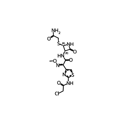 CON=C(C(=O)N[C@@H]1C(=O)N[C@@H]1SCC(N)=O)c1csc(NC(=O)CCl)n1